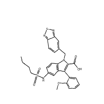 CCCCS(=O)(=O)Nc1ccc2c(c1)c(-c1ccccc1OC)c(C(=O)O)n2Cc1ccc2nsnc2c1